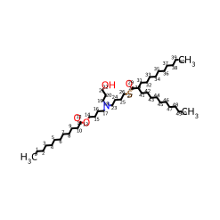 CCCCCCCCCCCC(=O)OCCCCN(CCCO)CCCCSC(=O)C(CCCCCCCCCC)CCCCCCCCCC